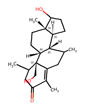 CC1=C2CC(C)[C@@H]3[C@@H](CC[C@]4(C)C(O)CC[C@@H]34)[C@@]2(CO)C(C)CC1=O